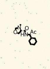 CC(=O)[C@@H](NC(=O)[C@@H]1COCN1C)C1CCCCC1